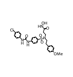 COc1ccc(CCN(CCC(=O)NO)S(=O)(=O)c2ccc(NC(=O)Nc3ccc(Cl)cc3)cc2)cc1